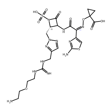 N=C(NCCOCCN)NCc1cnn(C[C@H]2C(NC(=O)/C(=N\OC3(C(=O)O)CC3)c3csc(N)n3)C(=O)N2S(=O)(=O)O)n1